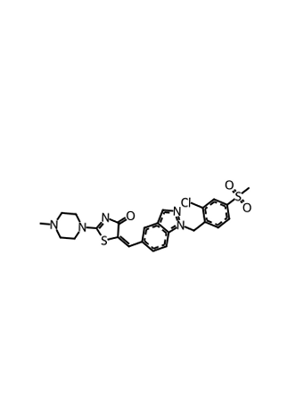 CN1CCN(C2=NC(=O)C(=Cc3ccc4c(cnn4Cc4ccc(S(C)(=O)=O)cc4Cl)c3)S2)CC1